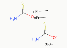 CCCC.CCCC.NC([O-])=S.NC([O-])=S.[Zn+2]